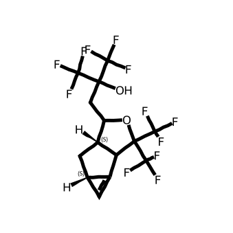 OC(CC1OC(C(F)(F)F)(C(F)(F)F)C2C3=C[C@@H]3C[C@H]12)(C(F)(F)F)C(F)(F)F